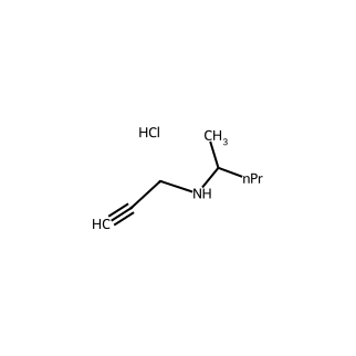 C#CCNC(C)CCC.Cl